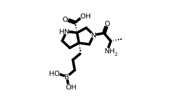 C[C@H](N)C(=O)N1C[C@@]2(CCCB(O)O)CCN[C@@]2(C(=O)O)C1